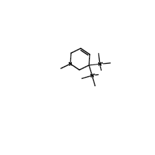 CN1CC=CC([N+](C)(C)C)([N+](C)(C)C)C1